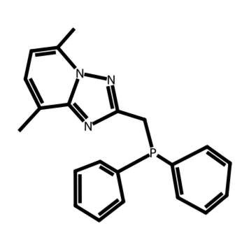 Cc1ccc(C)n2nc(CP(c3ccccc3)c3ccccc3)nc12